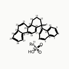 CC1(c2cccc3ccccc23)CCCc2c1ccc1c2ccc2ccccc21.O=[S](=O)(O)[Re]